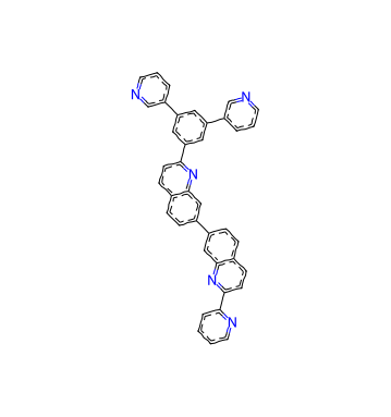 c1ccc(-c2ccc3ccc(-c4ccc5ccc(-c6cc(-c7cccnc7)cc(-c7cccnc7)c6)nc5c4)cc3n2)nc1